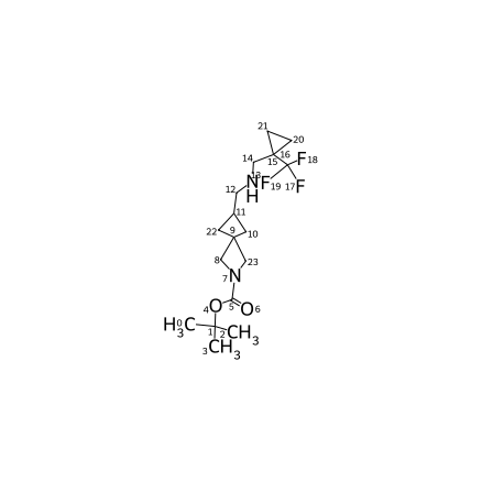 CC(C)(C)OC(=O)N1CC2(CC(CNCC3(C(F)(F)F)CC3)C2)C1